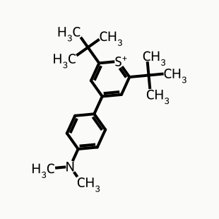 CN(C)c1ccc(-c2cc(C(C)(C)C)[s+]c(C(C)(C)C)c2)cc1